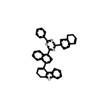 C1=Cc2ccc(-c3nc(-c4ccccc4)nc(-c4ccc(C5=CCCc6oc7ccccc7c65)c5ccccc45)n3)cc2CC1